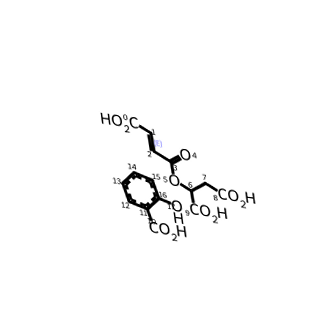 O=C(O)/C=C/C(=O)OC(CC(=O)O)C(=O)O.O=C(O)c1ccccc1O